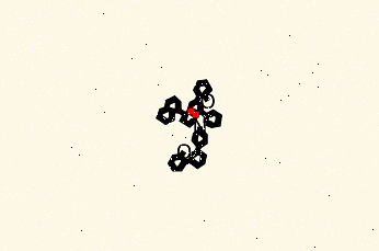 c1ccc(N(c2ccc(-c3cccc4ccccc34)cc2)c2ccc(-c3cccc4c3oc3ccccc34)cc2)c(-c2cccc3c2oc2ccccc23)c1